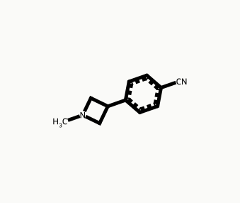 CN1CC(c2ccc(C#N)cc2)C1